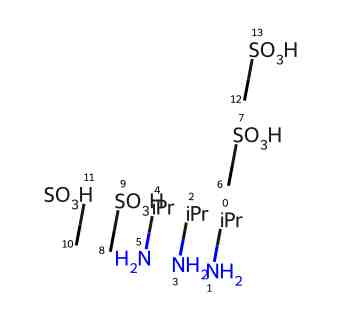 CC(C)N.CC(C)N.CC(C)N.CS(=O)(=O)O.CS(=O)(=O)O.CS(=O)(=O)O.CS(=O)(=O)O